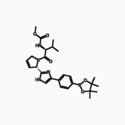 COC(=O)N[C@H](C(=O)N1CC=C[C@H]1c1nc(-c2ccc(B3OC(C)(C)C(C)(C)O3)cc2)c[nH]1)C(C)C